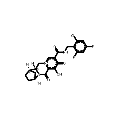 O=C(NCc1c(F)cc(F)cc1Cl)c1cn2c(c(O)c1=O)C(=O)N1[C@H]3CC[C@H](C3)[C@@H]1C2